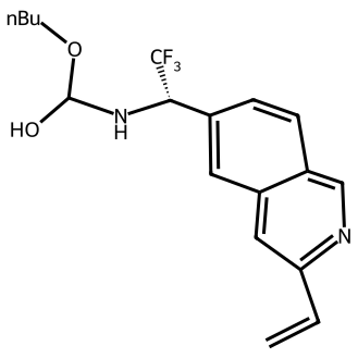 C=Cc1cc2cc([C@H](NC(O)OCCCC)C(F)(F)F)ccc2cn1